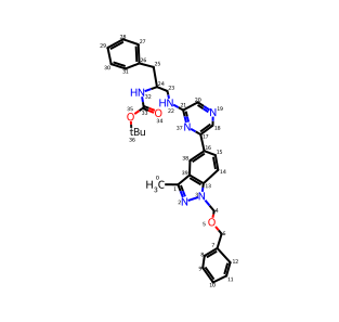 Cc1nn(COCc2ccccc2)c2ccc(-c3cncc(NCC(Cc4ccccc4)NC(=O)OC(C)(C)C)n3)cc12